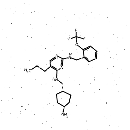 CCCc1cnc(NCc2ccccc2OC(F)(F)F)nc1NC[C@H]1CC[C@H](N)CC1